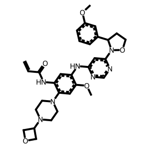 C=CC(=O)Nc1cc(Nc2cc(N3OCCC3c3cccc(OC)c3)ncn2)c(OC)cc1N1CCN(C2COC2)CC1